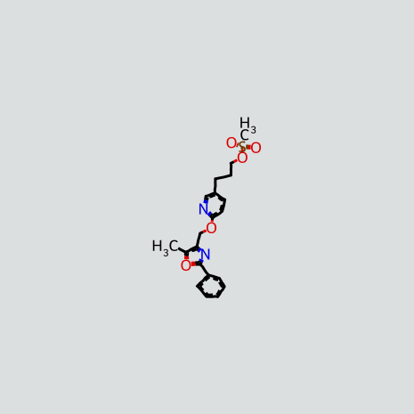 Cc1oc(-c2ccccc2)nc1COc1ccc(CCCOS(C)(=O)=O)cn1